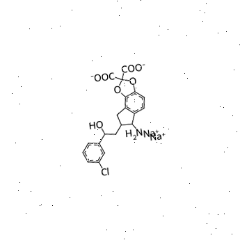 NC1c2ccc3c(c2CC1CC(O)c1cccc(Cl)c1)OC(C(=O)[O-])(C(=O)[O-])O3.[Na+].[Na+]